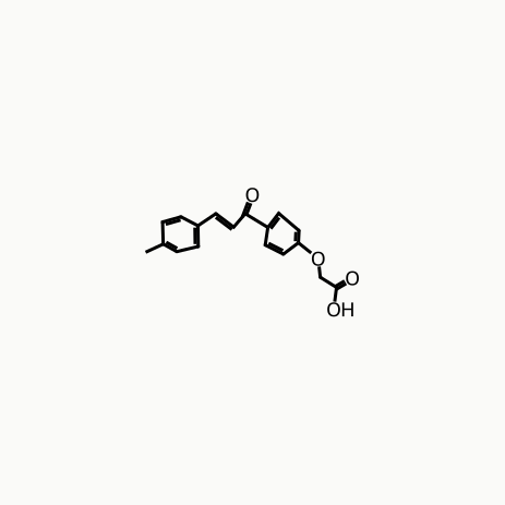 Cc1ccc(C=CC(=O)c2ccc(OCC(=O)O)cc2)cc1